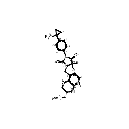 COC[C@@H]1COc2c(CN3C(=O)N(c4ccc(C5(C(F)(F)F)CC5)cc4)C(=O)C3(C)C)ccnc2N1